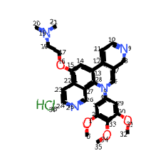 COc1cc(N2C=C3CN=CC=C3c3cc(OCCN(C)C)c4ccncc4c32)cc(OC)c1OC.Cl